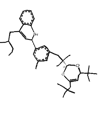 CCC(C)CC1=CC(c2cc(C)cc(CC(C)(C)[C@H]3OC(C(C)(C)C)=CC(C(C)(C)C)O3)c2)Nc2ccccc21